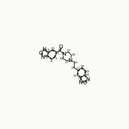 O=C(c1ccc2nonc2c1)N1CCN(CCc2ccc3nonc3c2)CC1